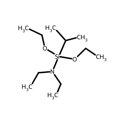 CCO[Si](OCC)(C(C)C)N(CC)CC